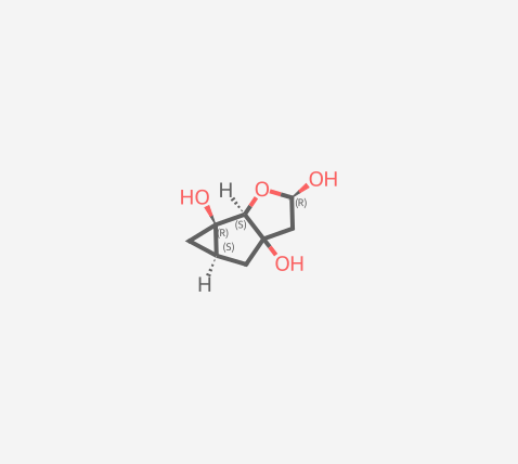 O[C@H]1CC2(O)C[C@H]3C[C@]3(O)[C@H]2O1